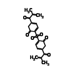 C=C(C)C(=O)C1=CC=C(S(=O)(=O)C2=CC=C(C(=O)C(=C)C)CC2=O)C(=O)C1